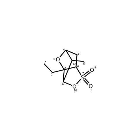 CCC12OC3CC1S(=O)(=O)OC2C3C